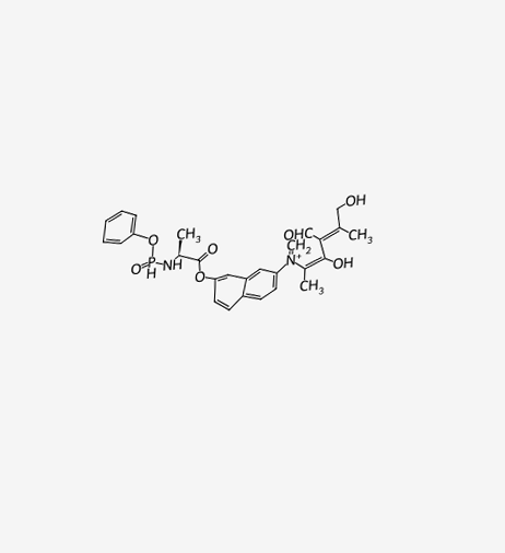 C=[N+](/C(C)=C(O)\C(C=O)=C(/C)CO)c1ccc2ccc(OC(=O)[C@H](C)N[PH](=O)Oc3ccccc3)cc2c1